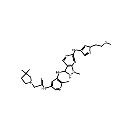 COCCn1cc(Nc2ncc3c(n2)N(C)NC3Nc2cc(NC(=O)CN3CCC(C)(C)C3)cnc2C)cn1